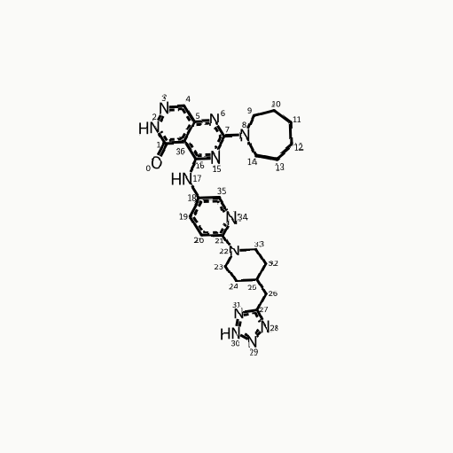 O=c1[nH]ncc2nc(N3CCCCCC3)nc(Nc3ccc(N4CCC(Cc5nn[nH]n5)CC4)nc3)c12